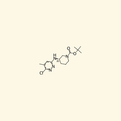 Cc1cc(N[C@@H]2CCCN(C(=O)OC(C)(C)C)C2)nnc1Cl